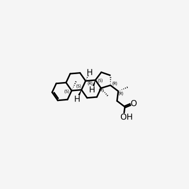 C[C@H](CC(=O)O)[C@H]1CC[C@H]2[C@@H]3CCC4CC=CC[C@]4(C)[C@H]3CC[C@]12C